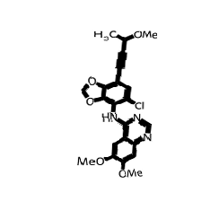 COc1cc2ncnc(Nc3c(Cl)cc(C#CC(C)OC)c4c3OCO4)c2cc1OC